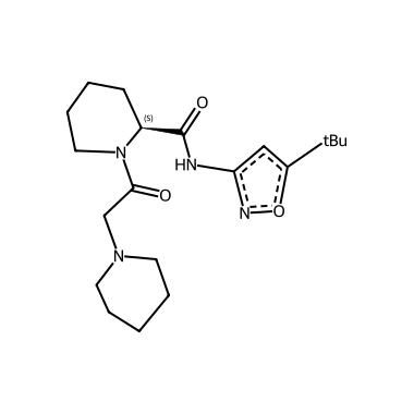 CC(C)(C)c1cc(NC(=O)[C@@H]2CCCCN2C(=O)CN2CCCCC2)no1